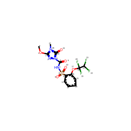 COc1nn(C(=O)NS(=O)(=O)c2ccccc2OC(F)(F)C(F)F)c(=O)n1C